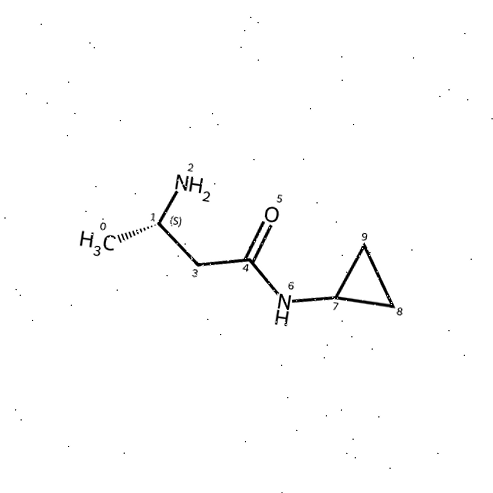 C[C@H](N)CC(=O)NC1CC1